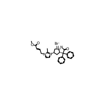 COC(=O)C=CC[n+]1ccn([C@H]2CC[C@@H](C(C(N)=O)(c3ccccc3)c3ccccc3)C2)c1C.[Br-]